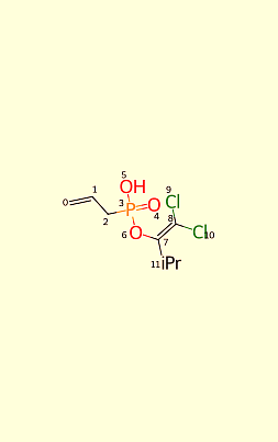 C=CCP(=O)(O)OC(=C(Cl)Cl)C(C)C